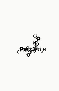 CN(CCc1cccc(Cl)c1)C(=O)CC[Si@H](NC(=O)C1SC(NC(=O)OCc2cccc(Cl)c2)[C@H]1CC1CCCCC1)C(=O)O